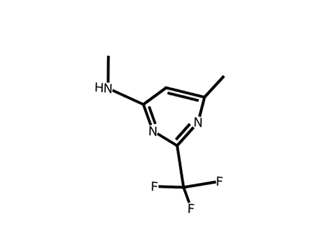 CNc1cc(C)nc(C(F)(F)F)n1